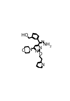 NN=C(c1cccc(CO)c1)c1cc(N2CCOCC2)nc(OCCc2ccccn2)n1